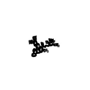 C=CCN(CCCC(=O)N1[C@@H](C)CN(Cc2cccc3ccccc23)C(=O)[C@@H]1Cc1ccc(O)c(O)c1)C(=O)NC